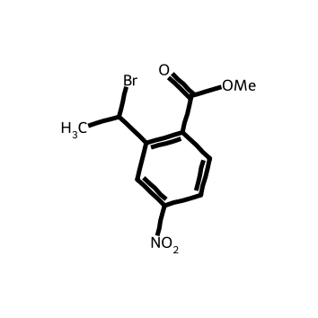 COC(=O)c1ccc([N+](=O)[O-])cc1C(C)Br